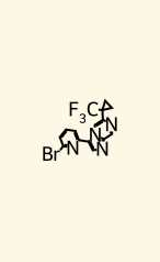 FC(F)(F)C1(c2cn3c(-c4cccc(Br)n4)cnc3cn2)CC1